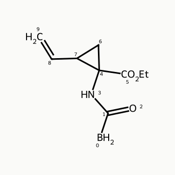 BC(=O)NC1(C(=O)OCC)CC1C=C